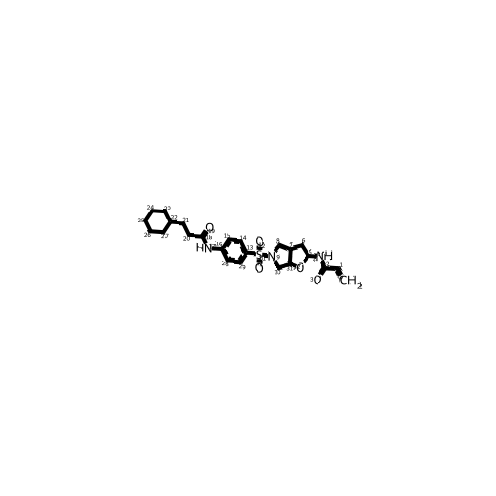 C=CC(=O)NC1CC2CN(S(=O)(=O)c3ccc(NC(=O)CCC4CCCCC4)cc3)CC2O1